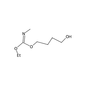 CCOC(=NC)OCCCCO